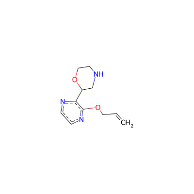 C=CCOc1nccnc1C1CNCCO1